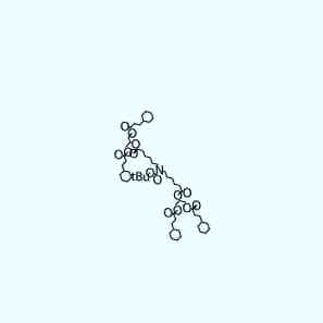 CC(C)(C)OC(=O)N(CCCCCC(=O)OC(COC(=O)CCC1CCCCC1)COC(=O)CCC1CCCCC1)CCCCCC(=O)OC(COC(=O)CCC1CCCCC1)COC(=O)CCC1CCCCC1